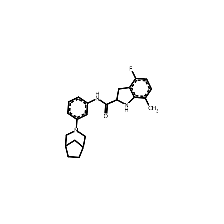 Cc1ccc(F)c2c1NC(C(=O)Nc1cccc(N3CC4CCC(C4)C3)c1)C2